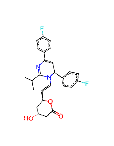 CC(C)C1=NC(c2ccc(F)cc2)=CC(c2ccc(F)cc2)N1/C=C/[C@@H]1C[C@@H](O)CC(=O)O1